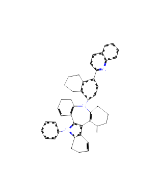 CC1CCCC2=C1c1c3c(n(-c4ccccc4)c1C1=C(CCC=C1)N2c1ccc(-c2ccc4ccccc4n2)c2c1CCCC2)CCC=C3